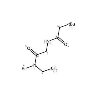 CCN(CC(F)(F)F)C(=O)CNC(=O)CC(C)(C)C